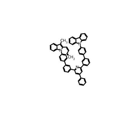 C=C/C=C\c1c(C)c2ccccc2n1-c1ccc(-c2cccc(-c3cc(-c4ccccc4)cc(-c4cccc(-c5ccc(-n6c7ccccc7c7ccccc76)cc5)c4)n3)c2)cc1